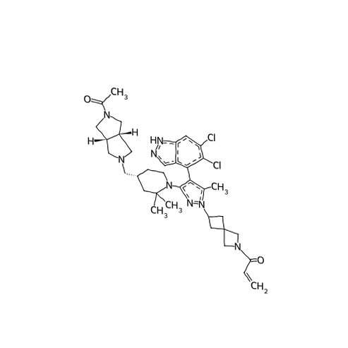 C=CC(=O)N1CC2(CC(n3nc(N4CC[C@@H](CN5C[C@@H]6CN(C(C)=O)C[C@@H]6C5)CC4(C)C)c(-c4c(Cl)c(Cl)cc5[nH]ncc45)c3C)C2)C1